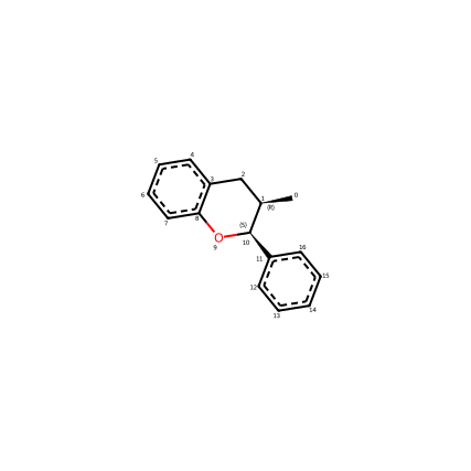 C[C@@H]1Cc2ccccc2O[C@@H]1c1ccccc1